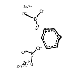 [O-]B([O-])[O-].[O-]B([O-])[O-].[Zn+2].[Zn+2].[Zn+2].c1ccccc1